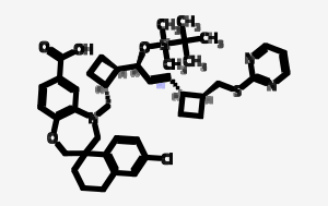 CC(C)(C)[Si](C)(C)O[C@@H](/C=C/[C@H]1CC[C@@H]1CSc1ncccn1)[C@@H]1CC[C@H]1CN1CC2(CCCc3cc(Cl)ccc32)COc2ccc(C(=O)O)cc21